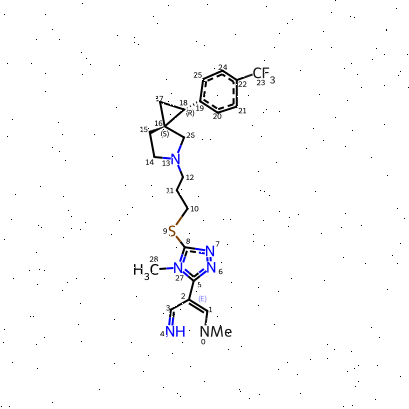 CN/C=C(\C=N)c1nnc(SCCCN2CC[C@]3(C[C@@H]3c3ccc(C(F)(F)F)cc3)C2)n1C